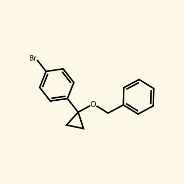 Brc1ccc(C2(OCc3ccccc3)CC2)cc1